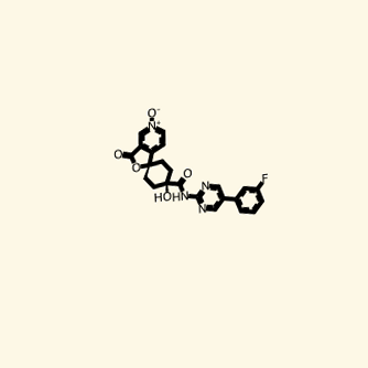 O=C1O[C@]2(CC[C@@](O)(C(=O)Nc3ncc(-c4cccc(F)c4)cn3)CC2)c2cc[n+]([O-])cc21